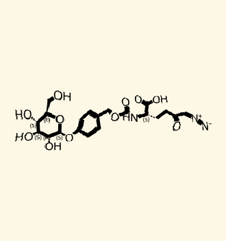 [N-]=[N+]=CC(=O)CC[C@H](NC(=O)OCc1ccc(O[C@@H]2O[C@H](CO)[C@@H](O)[C@H](O)[C@H]2O)cc1)C(=O)O